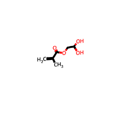 C=C(C)C(=O)OCC(O)O